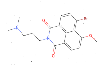 COc1ccc2c3c(ccc(Br)c13)C(=O)N(CCCN(C)C)C2=O